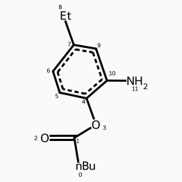 CCCCC(=O)Oc1ccc(CC)cc1N